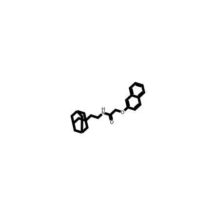 O=C(COc1ccc2ccccc2c1)NCCC12CC3CC(CC(C3)C1)C2